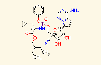 CCC(CC)COC(=O)[C@H](CC1CC1)NP(=O)(OC[C@@]1(C#N)O[C@@H](c2ccc3c(N)ncnn23)[C@H](O)[C@@H]1O)Oc1ccccc1